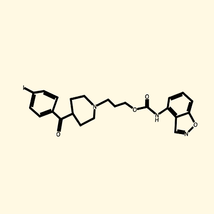 O=C(Nc1cccc2oncc12)OCCCN1CCC(C(=O)c2ccc(I)cc2)CC1